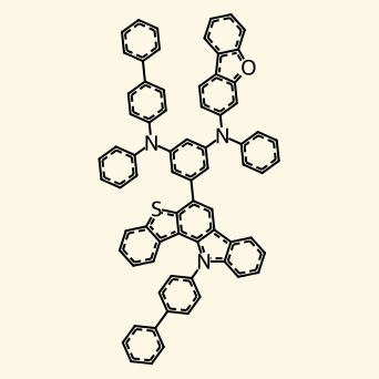 c1ccc(-c2ccc(N(c3ccccc3)c3cc(-c4cc5c6ccccc6n(-c6ccc(-c7ccccc7)cc6)c5c5c4sc4ccccc45)cc(N(c4ccccc4)c4ccc5c(c4)oc4ccccc45)c3)cc2)cc1